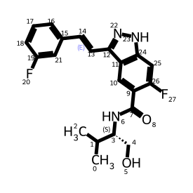 CC(C)[C@@H](CO)NC(=O)c1cc2c(/C=C/c3cccc(F)c3)n[nH]c2cc1F